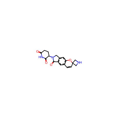 O=C1CCC(N2Cc3cc4c(cc3C2=O)C=CC2(CNC2)O4)C(=O)N1